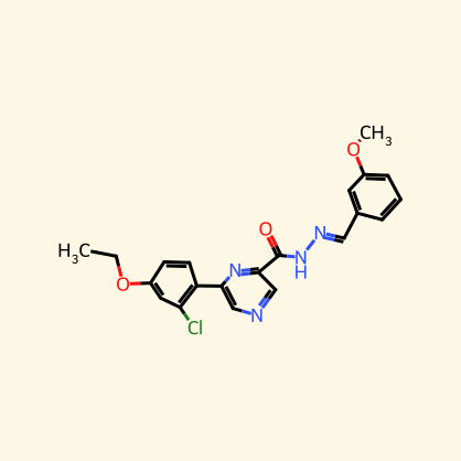 CCOc1ccc(-c2cncc(C(=O)NN=Cc3cccc(OC)c3)n2)c(Cl)c1